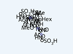 CCCCCCc1nc(Nc2cc(N(CC)CC)c(OC)cc2/N=N/c2nc(N3CCOCC3)c(/C=C(\C(C)=O)C(=O)Nc3cccc(S(=O)(=O)O)c3)s2)nc(Nc2cc(N(CC)CC)c(OC)cc2/N=N/c2nc(N3CCOCC3)c(C(C(C)=O)C(=O)Nc3cccc(S(=O)(=O)O)c3)s2)n1